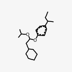 CCC(C)c1ccc(OC(CC2CCCCC2)OC(C)C)cc1